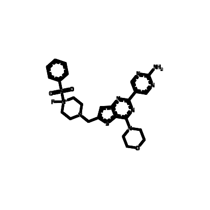 Nc1ncc(-c2nc(N3CCOCC3)c3sc(CN4CC[N+](F)(S(=O)(=O)c5ccccc5)CC4)cc3n2)cn1